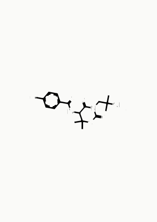 CC(C)(N)CN1C(=O)SC(C)(C)C(NC(=O)c2ccc(Cl)cc2)C1=O